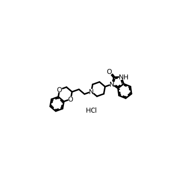 Cl.O=c1[nH]c2ccccc2n1C1CCN(CCC2COc3ccccc3O2)CC1